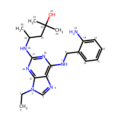 CCn1cnc2c(NCc3ccccc3N)nc(NC(C)CC(C)(C)O)nc21